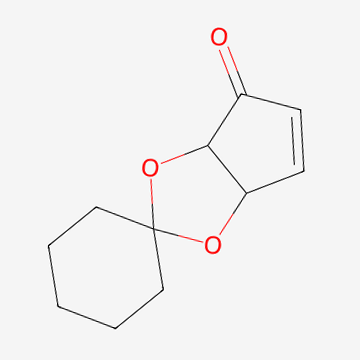 O=C1C=CC2OC3(CCCCC3)OC12